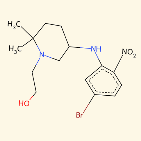 CC1(C)CCC(Nc2cc(Br)ccc2[N+](=O)[O-])CN1CCO